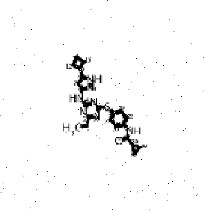 CCc1nc(Nc2cc(C3CCC3)[nH]n2)nc(Sc2ccc(NC(=O)C3CC3)cc2)n1